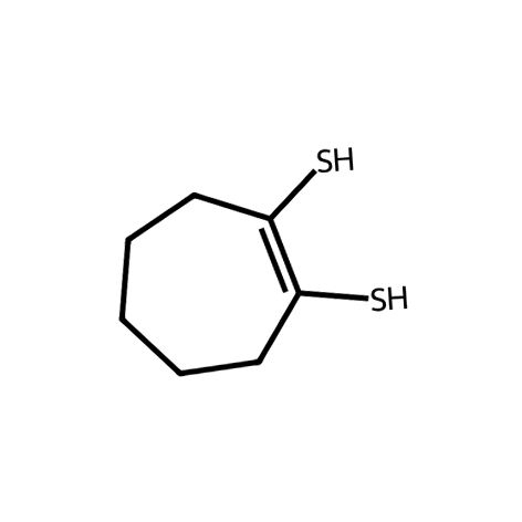 SC1=C(S)CCCCC1